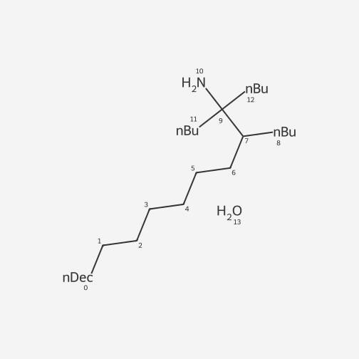 CCCCCCCCCCCCCCCCC(CCCC)C(N)(CCCC)CCCC.O